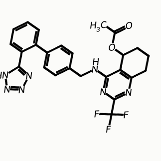 CC(=O)OC1CCCc2nc(C(F)(F)F)nc(NCc3ccc(-c4ccccc4-c4nnn[nH]4)cc3)c21